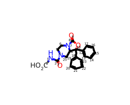 O=C(O)NC(=O)N1CCN2C(=O)OC(c3ccccc3)(c3ccccc3)C2C1